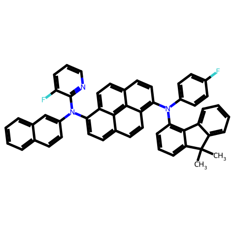 CC1(C)c2ccccc2-c2c(N(c3ccc(F)cc3)c3ccc4ccc5c(N(c6ccc7ccccc7c6)c6ncccc6F)ccc6ccc3c4c65)cccc21